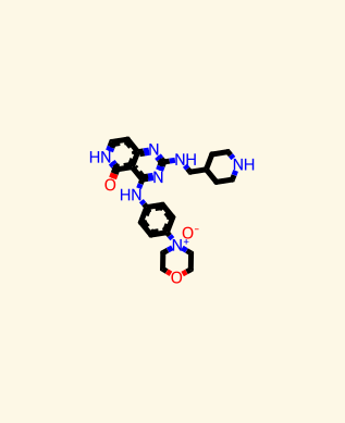 O=c1[nH]ccc2nc(NCC3CCNCC3)nc(Nc3ccc([N+]4([O-])CCOCC4)cc3)c12